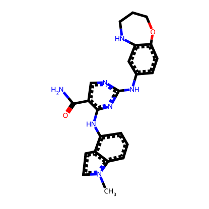 Cn1ccc2c(Nc3nc(Nc4ccc5c(c4)NCCCO5)ncc3C(N)=O)cccc21